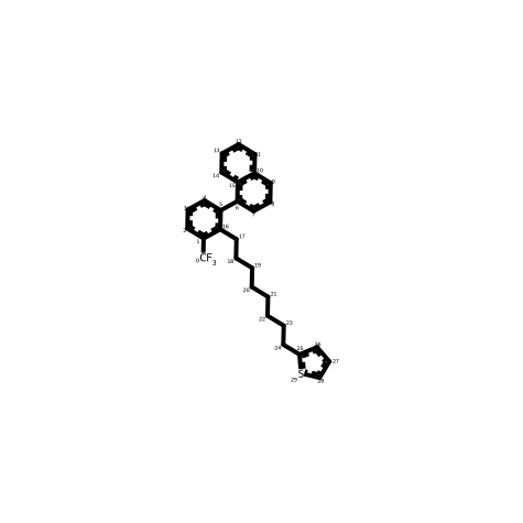 FC(F)(F)c1cccc(-c2cccc3ccccc23)c1CCCCCCCCc1cccs1